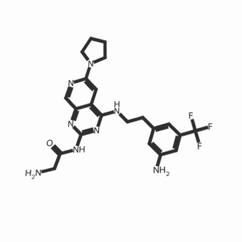 NCC(=O)Nc1nc(NCCc2cc(N)cc(C(F)(F)F)c2)c2cc(N3CCCC3)ncc2n1